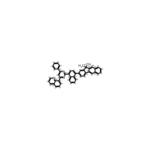 CC1(C)c2cc(-c3ccc(-c4nc(-c5ccccc5)cc(-c5cccc6cccnc56)n4)c4ccccc34)ccc2-c2cc3ccccc3cc21